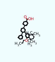 CCCOc1cc(-c2cc(-c3ccc(C(=O)O)cc3)ccc2-c2ccccc2)cc2c1C(C)(C)CCC2(C)C